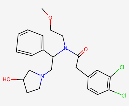 COCCN(C(=O)Cc1ccc(Cl)c(Cl)c1)C(CN1CCC(O)C1)c1ccccc1